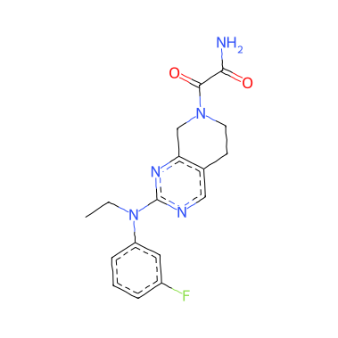 CCN(c1cccc(F)c1)c1ncc2c(n1)CN(C(=O)C(N)=O)CC2